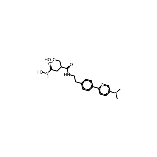 CN(C)c1ccc(-c2ccc(CCNC(=O)C(CC(=O)O)CC(=O)NO)cc2)nc1